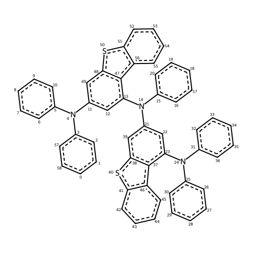 c1ccc(N(c2ccccc2)c2cc(N(c3ccccc3)c3cc(N(c4ccccc4)c4ccccc4)c4c(c3)sc3ccccc34)c3c(c2)sc2ccccc23)cc1